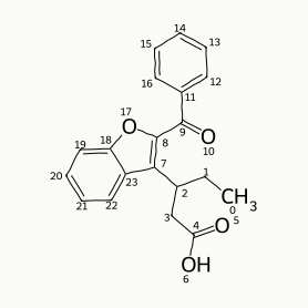 CCC(CC(=O)O)c1c(C(=O)c2ccccc2)oc2ccccc12